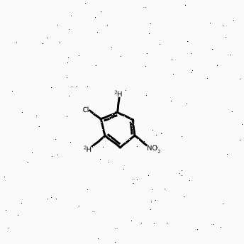 [2H]c1cc([N+](=O)[O-])cc([2H])c1Cl